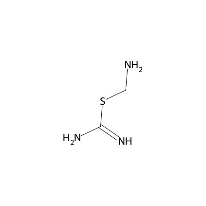 N=C(N)SCN